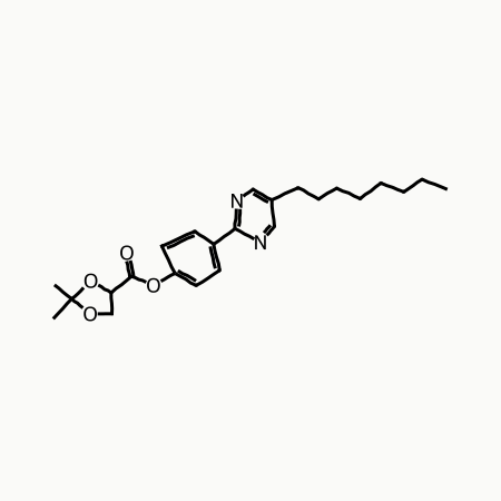 CCCCCCCCc1cnc(-c2ccc(OC(=O)C3COC(C)(C)O3)cc2)nc1